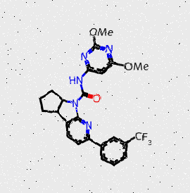 COc1cc(NC(=O)N2c3nc(-c4cccc(C(F)(F)F)c4)ccc3C3CCCC32)nc(OC)n1